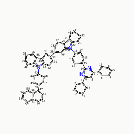 c1ccc(-c2cc(-c3ccccc3)nc(-c3ccc(-n4c5ccccc5c5ccc(-c6ccc7c(c6)c6ccccc6n7-c6ccc(-c7cccc8ccccc78)cc6)cc54)cc3)n2)cc1